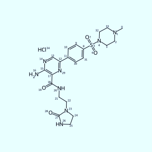 CN1CCN(S(=O)(=O)c2ccc(-c3cnc(N)c(C(=O)NCCN4CCNC4=O)n3)cc2)CC1.Cl